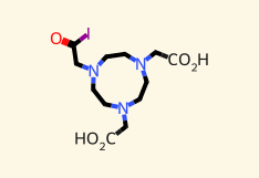 O=C(O)CN1CCN(CC(=O)O)CCN(CC(=O)I)CC1